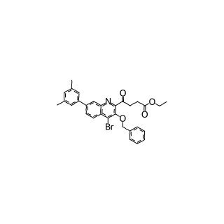 CCOC(=O)CCC(=O)c1nc2cc(-c3cc(C)cc(C)c3)ccc2c(Br)c1OCc1ccccc1